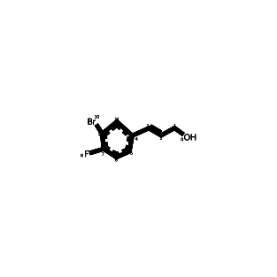 OCC=Cc1ccc(F)c(Br)c1